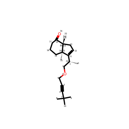 C[C@H](COCC#CC(C)(C)C)C1=CC[C@H]2C(=O)CCC[C@]12C